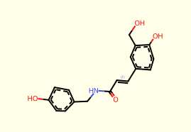 O=C(/C=C/c1ccc(O)c(CO)c1)NCc1ccc(O)cc1